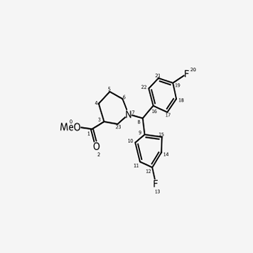 COC(=O)C1CCCN(C(c2ccc(F)cc2)c2ccc(F)cc2)C1